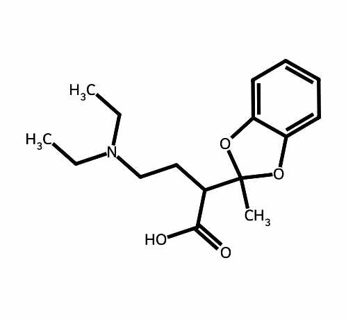 CCN(CC)CCC(C(=O)O)C1(C)Oc2ccccc2O1